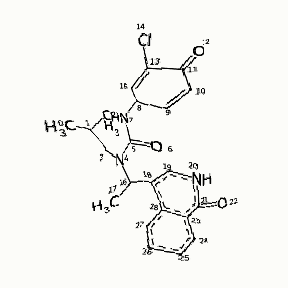 CC(C)CN(C(=O)NC1C=CC(=O)C(Cl)=C1)C(C)c1c[nH]c(=O)c2ccccc12